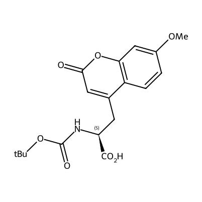 COc1ccc2c(C[C@H](NC(=O)OC(C)(C)C)C(=O)O)cc(=O)oc2c1